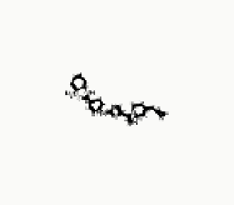 Nc1ccccc1NC(=O)c1ccc(Nc2ncc(-c3cnc4cc(CC5CC5)ccn34)s2)cc1